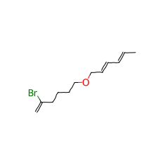 C=C(Br)CCCCOCC=CC=CC